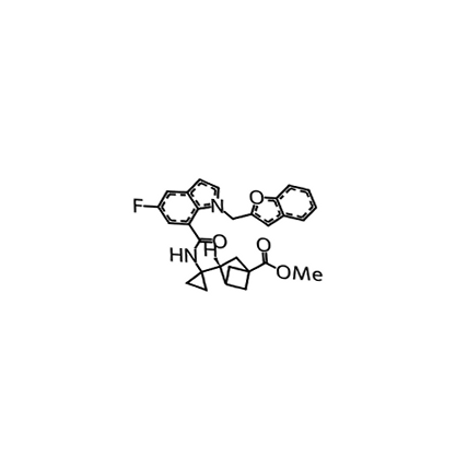 COC(=O)C12CC(C1)[C@H](C1(NC(=O)c3cc(F)cc4ccn(Cc5cc6ccccc6o5)c34)CC1)C2